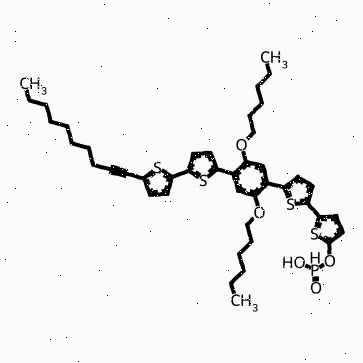 CCCCCCCCC#Cc1ccc(-c2ccc(-c3cc(OCCCCCC)c(-c4ccc(-c5ccc(O[PH](=O)O)s5)s4)cc3OCCCCCC)s2)s1